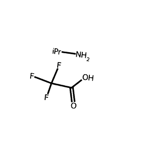 CC(C)N.O=C(O)C(F)(F)F